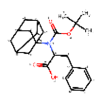 CC(C)(C)OC(=O)N([C@@H](Cc1ccccc1)C(=O)O)C12CC3CC(CC(C3)C1)C2